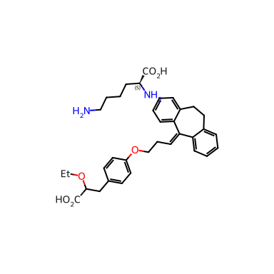 CCOC(Cc1ccc(OCCC=C2c3ccccc3CCc3ccccc32)cc1)C(=O)O.NCCCC[C@H](N)C(=O)O